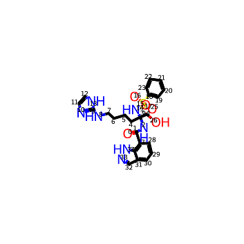 O=C(NC(CCCCNc1ncc[nH]1)(NS(=O)(=O)c1ccccc1)C(=O)O)c1cccc2cn[nH]c12